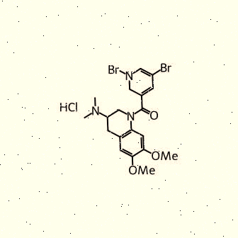 COc1cc2c(cc1OC)N(C(=O)C1=CC(Br)=CN(Br)C1)CC(N(C)C)C2.Cl